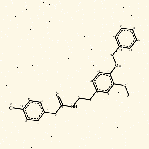 COc1cc(CCNC(=O)Cc2ccc(Cl)cc2)ccc1OCc1ccccc1